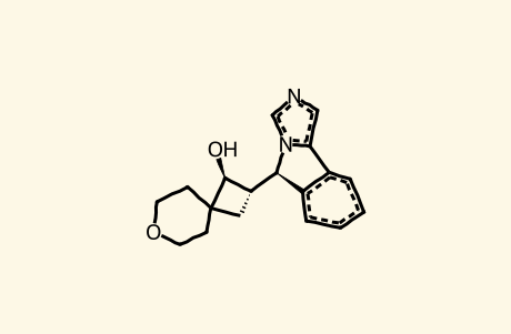 O[C@H]1[C@H]([C@@H]2c3ccccc3-c3cncn32)CC12CCOCC2